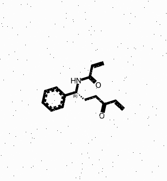 C=CC(=O)CC[C@@H](NC(=O)C=C)c1ccccc1